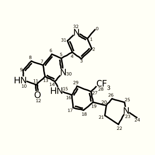 Cc1ccc(-c2cc3cc[nH]c(=O)c3c(Nc3ccc(C4CCN(C)CC4)c(C(F)(F)F)c3)n2)cn1